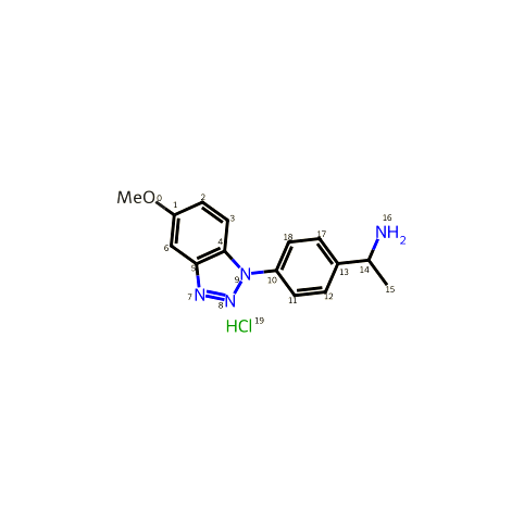 COc1ccc2c(c1)nnn2-c1ccc(C(C)N)cc1.Cl